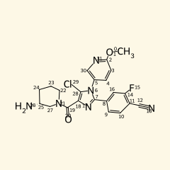 COc1ccc(-n2c(-c3ccc(C#N)c(F)c3)nc(C(=O)N3CCC[C@@H](N)C3)c2Cl)cn1